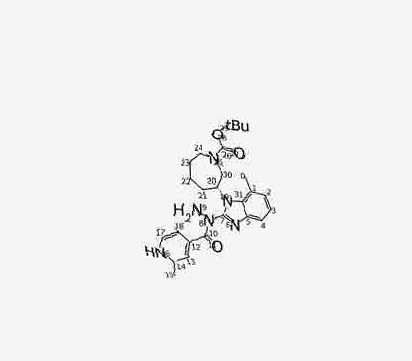 Cc1cccc2nc(N(N)C(=O)C3=CC(C)NC=C3)n([C@@H]3CCCCN(C(=O)OC(C)(C)C)C3)c12